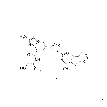 C[C@H](NC(=O)c1cc(-c2cc(C(=O)N[C@@H](C)CO)c3nc(N)nn3c2)cs1)c1nc2ccccc2o1